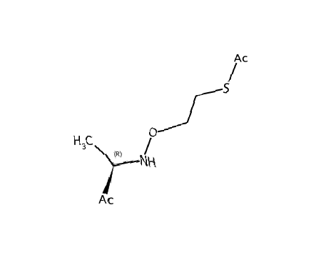 CC(=O)SCCON[C@H](C)C(C)=O